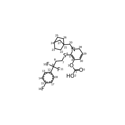 O=C(O)OC1=C(SCCC(F)(F)c2ccc(F)cc2)N(CC23CCC(CC2)C3)CC=C1